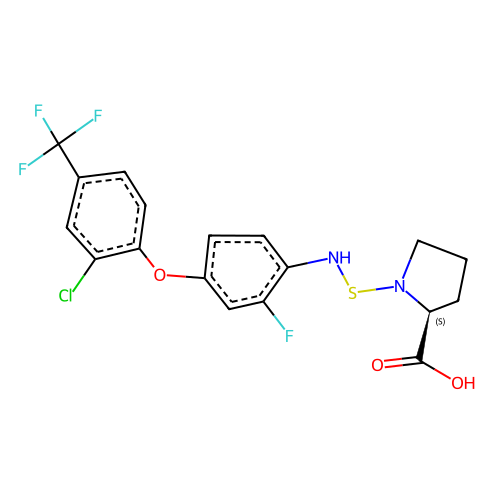 O=C(O)[C@@H]1CCCN1SNc1ccc(Oc2ccc(C(F)(F)F)cc2Cl)cc1F